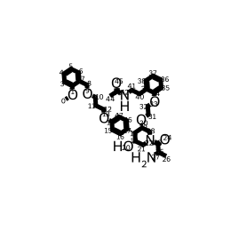 COc1ccccc1COCCCOc1ccc([C@H]2[C@H](O)CN(C(=O)C(C)N)C[C@@H]2OCCOc2ccccc2CCNC(C)=O)cc1